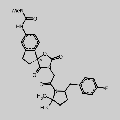 CNC(=O)Nc1ccc2c(c1)CC[C@@]21OC(=O)N(CC(=O)N2C(Cc3ccc(F)cc3)CCC2(C)C)C1=O